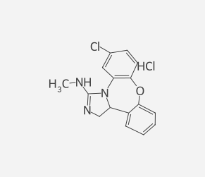 CNC1=NCC2c3ccccc3Oc3ccc(Cl)cc3N12.Cl